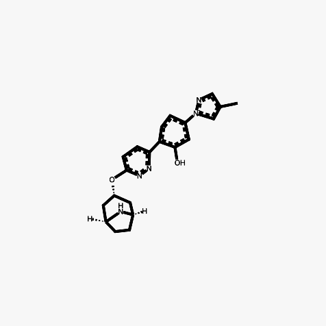 Cc1cnn(-c2ccc(-c3ccc(O[C@@H]4C[C@H]5CC[C@@H](C4)N5)nn3)c(O)c2)c1